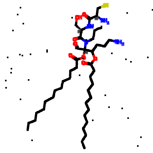 CCCCCCCCCCCCCC(=O)OC(CCCN)[C@]([C]=O)(OC(=O)CCCCCCCCCCCCC)N(CCC)C(=O)[C@H](CO)NC(=O)[C@@H](N)CS